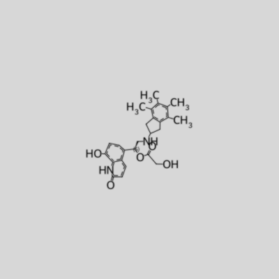 Cc1c(C)c(C)c2c(c1C)CC(NC[C@@H](OC(=O)CO)c1ccc(O)c3[nH]c(=O)ccc13)C2